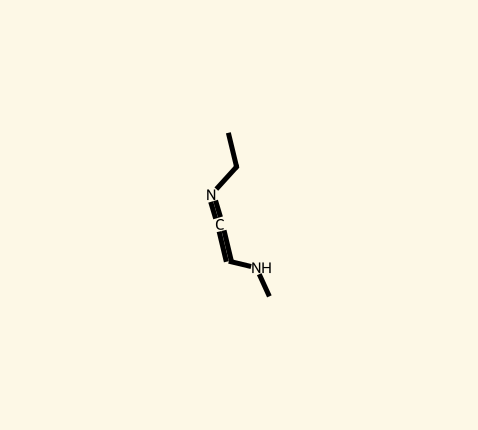 CCN=C=CNC